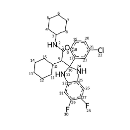 O=C(NC1CCCCC1)C(C1CCCCC1)C1(c2cccc(Cl)c2)Nc2cc(F)c(F)cc2N1